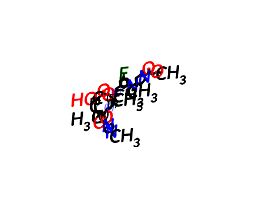 COCC(=O)N1CCC(N(C)c2cc(F)cc(/C=C(\C)[C@H]3OC(=O)C[C@H](O)CC[C@H](C)[C@@H](OC(=O)N4CCN(C)CC4)/C=C/[C@@H]3C)c2)CC1